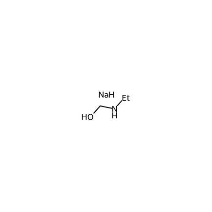 CCNCO.[NaH]